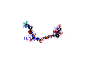 NC(=O)c1nn(C2CN(C(=O)COCCOCCOCCNc3cccc4c3C(=O)N(C3CCC(=O)NC3=O)C4=O)C2)cc1NC(=O)c1coc(-c2ccnc(NCC(F)(F)F)c2)n1